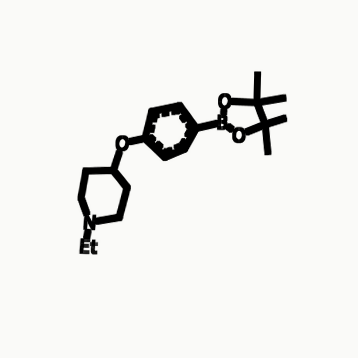 CCN1CCC(Oc2ccc(B3OC(C)(C)C(C)(C)O3)cc2)CC1